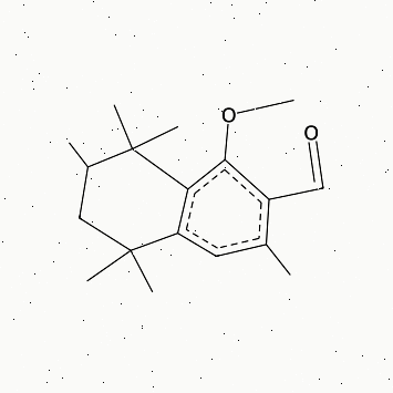 COc1c(C=O)c(C)cc2c1C(C)(C)C(C)CC2(C)C